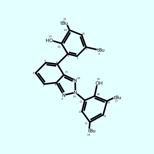 CC(C)(C)c1cc(-c2cccc3nn(-c4cc(C(C)(C)C)cc(C(C)(C)C)c4O)nc23)c(O)c(C(C)(C)C)c1